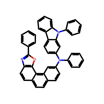 c1ccc(-c2nc3ccc4ccc5ccc(N(c6ccccc6)c6ccc7c8ccccc8n(-c8ccccc8)c7c6)cc5c4c3o2)cc1